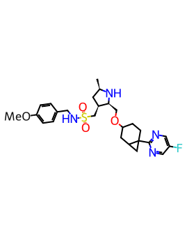 COc1ccc(CNS(=O)(=O)C[C@H]2C[C@@H](C)N[C@H]2COC2CCC3(c4ncc(F)cn4)CC3C2)cc1